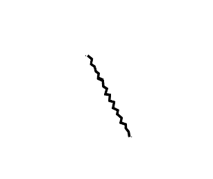 [CH2]CCCCCC=CCCCCCCCCCCCCCC[CH2]